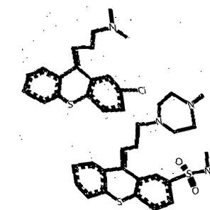 CN(C)CC/C=C1/c2ccccc2Sc2ccc(Cl)cc21.CN1CCN(CC/C=C2/c3ccccc3Sc3ccc(S(=O)(=O)N(C)C)cc32)CC1